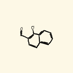 O=[C]c1ccc2ccccc2c1Cl